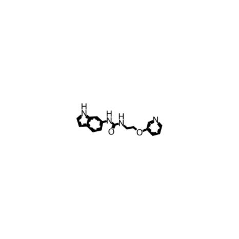 O=C(NCCOc1cccnc1)Nc1ccc2cc[nH]c2c1